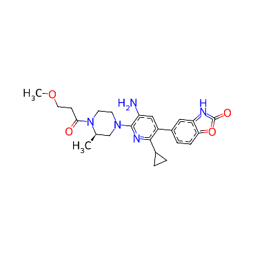 COCCC(=O)N1CCN(c2nc(C3CC3)c(-c3ccc4oc(=O)[nH]c4c3)cc2N)C[C@H]1C